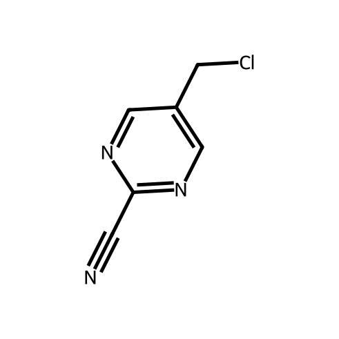 N#Cc1ncc(CCl)cn1